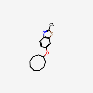 N#Cc1nc2ccc(OC3CCCCCCCC3)cc2s1